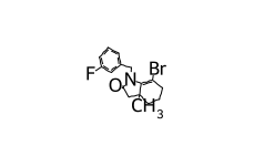 CC12CCCC(Br)=C1N(Cc1cccc(F)c1)C(=O)C2